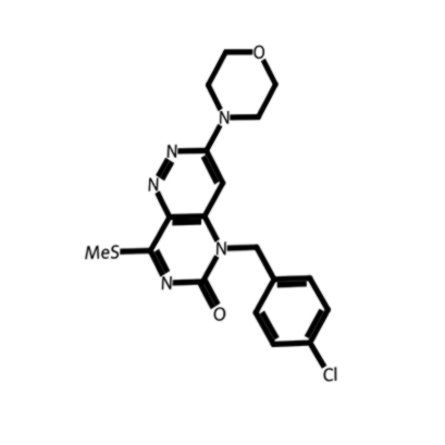 CSc1nc(=O)n(Cc2ccc(Cl)cc2)c2cc(N3CCOCC3)nnc12